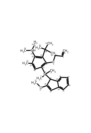 C=CCOc1c([Si](C)(C)C2C(OC)=Cc3ccccc32)cc(C)c([SiH](C)C)c1C(C)(C)C